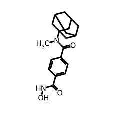 CN(C(=O)c1ccc(C(=O)NO)cc1)C12CC3CC(CC(C3)C1)C2